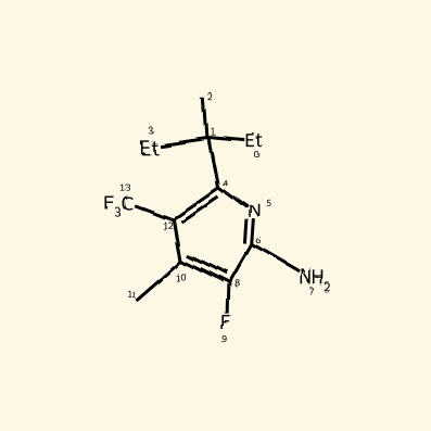 CCC(C)(CC)c1nc(N)c(F)c(C)c1C(F)(F)F